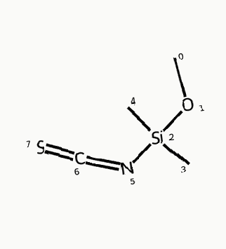 CO[Si](C)(C)N=C=S